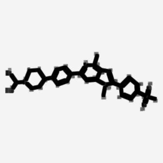 CCC(O)N1CCC(c2ccc(-c3cc4c(cc(-c5ccc(S(C)(=O)=O)cc5)n4C)c(C)n3)cc2)CC1